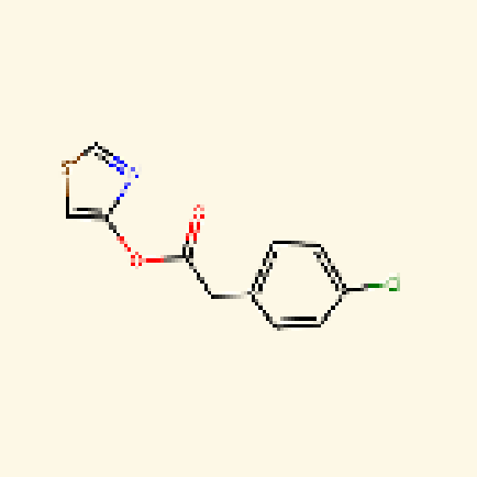 O=C(Cc1ccc(Cl)cc1)Oc1cscn1